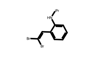 CC(C)Nc1ccccc1C=C(Br)Br